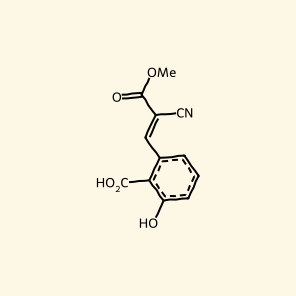 COC(=O)/C(C#N)=C/c1cccc(O)c1C(=O)O